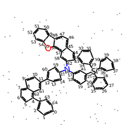 c1ccc(-c2cccc3ccc(-c4ccc(N(c5cccc([Si](c6ccccc6)(c6ccccc6)c6ccccc6)c5)c5ccc6ccc7c8ccccc8oc7c6c5)cc4)cc23)cc1